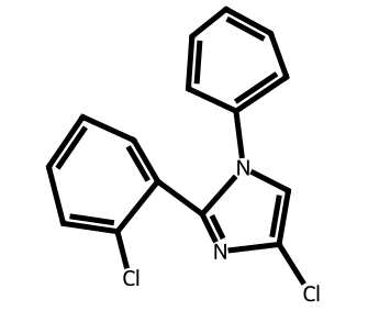 Clc1cn(-c2ccccc2)c(-c2ccccc2Cl)n1